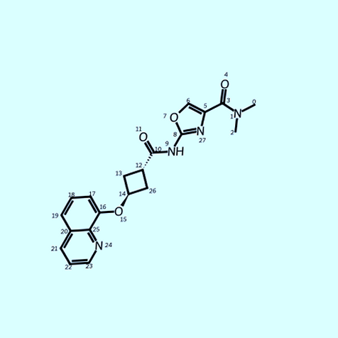 CN(C)C(=O)c1coc(NC(=O)[C@H]2C[C@H](Oc3cccc4cccnc34)C2)n1